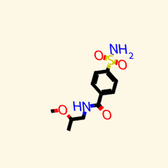 COC(C)CNC(=O)c1ccc(S(N)(=O)=O)cc1